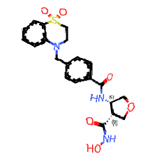 O=C(N[C@@H]1COC[C@@H]1C(=O)NO)c1ccc(CN2CCS(=O)(=O)c3ccccc32)cc1